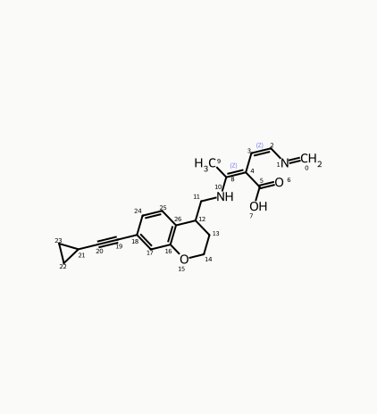 C=N/C=C\C(C(=O)O)=C(/C)NCC1CCOc2cc(C#CC3CC3)ccc21